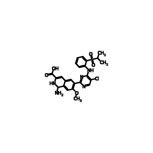 COc1cc2c(cc1-c1ncc(Cl)c(Nc3ccccc3S(=O)(=O)C(C)C)n1)C=C(C(=O)O)NC2N